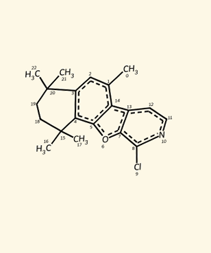 Cc1cc2c(c3oc4c(Cl)nccc4c13)C(C)(C)CCC2(C)C